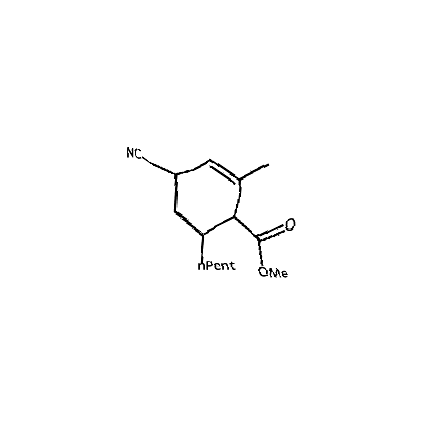 CCCCCC1CC(C#N)C=C(C)C1C(=O)OC